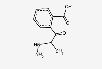 CC(NN)C(=O)c1ccccc1C(=O)O